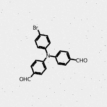 O=Cc1ccc(N(c2ccc(Br)cc2)c2ccc(C=O)cc2)cc1